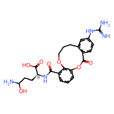 N=C(N)Nc1ccc2c(c1)CCCOc1c(cccc1C(=O)N[C@@H](CCC(N)O)C(=O)O)OC2=O